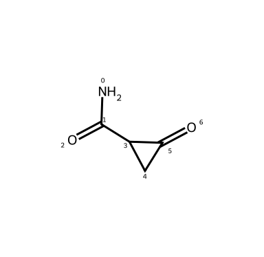 NC(=O)C1CC1=O